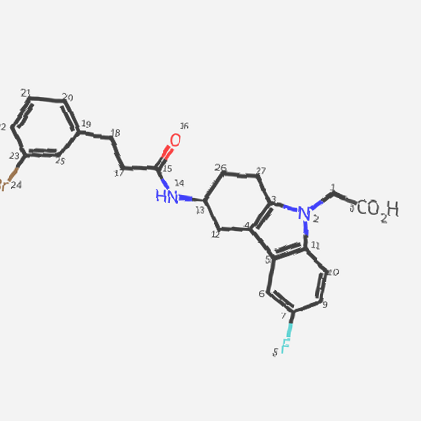 O=C(O)Cn1c2c(c3cc(F)ccc31)C[C@@H](NC(=O)CCc1cccc(Br)c1)CC2